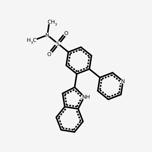 CN(C)S(=O)(=O)c1ccc(-c2cccnc2)c(-c2cc3ccccc3[nH]2)c1